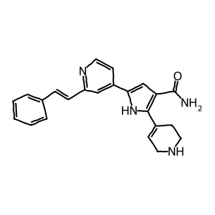 NC(=O)c1cc(-c2ccnc(C=Cc3ccccc3)c2)[nH]c1C1=CCNCC1